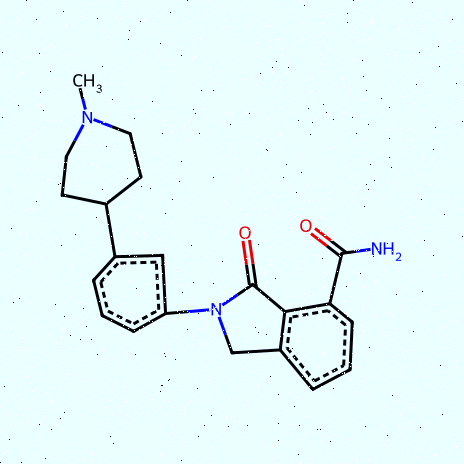 CN1CCC(c2cccc(N3Cc4cccc(C(N)=O)c4C3=O)c2)CC1